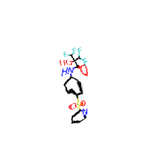 O=C(Nc1ccc(S(=O)(=O)c2ccccn2)cc1)C(O)(C(F)F)C(F)F